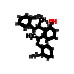 CCCc1ccccc1CC(C)c1cccc(O)c1C(C)Cc1ccccc1CCC